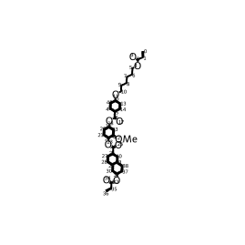 C=CC(=O)OCCCCCCOc1ccc(C(=O)Oc2ccc(OC(=O)c3ccc4cc(OC(=O)C=C)ccc4c3)c(OC)c2)cc1